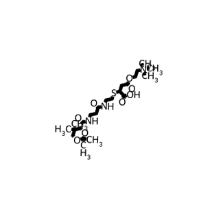 CC1(C)OCC(C)(C)[C@H](C(=O)NCCC(=O)NCCSC(CC(=O)OCC[N+](C)(C)C)C(=O)O)O1